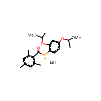 COC(C)Oc1ccc(PC(=O)c2c(C)cc(C)cc2C)c(OC(C)OC)c1.[LiH]